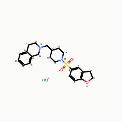 Cl.O=S(=O)(c1ccc2c(c1)CCO2)N1CCC(CN2CCc3ccccc3C2)CC1